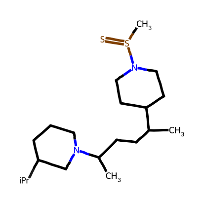 CC(C)C1CCCN(C(C)CCC(C)C2CCN(S(C)=S)CC2)C1